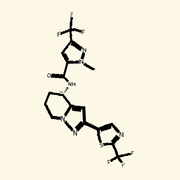 Cn1nc(C(F)(F)F)cc1C(=O)N[C@H]1CCCn2nc(-c3cnc(C(F)(F)F)s3)cc21